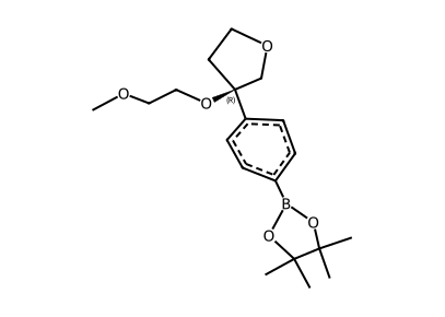 COCCO[C@@]1(c2ccc(B3OC(C)(C)C(C)(C)O3)cc2)CCOC1